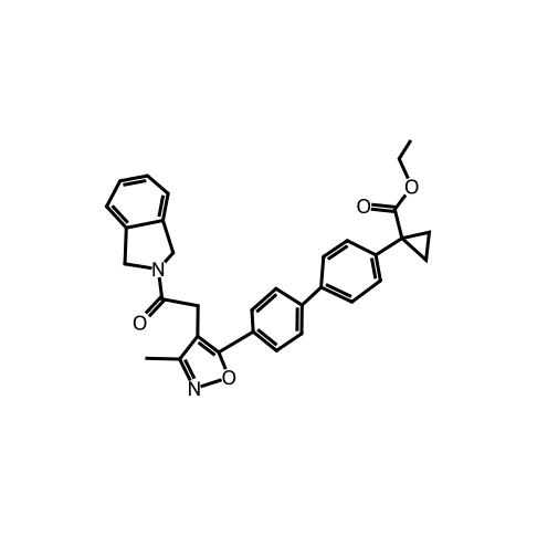 CCOC(=O)C1(c2ccc(-c3ccc(-c4onc(C)c4CC(=O)N4Cc5ccccc5C4)cc3)cc2)CC1